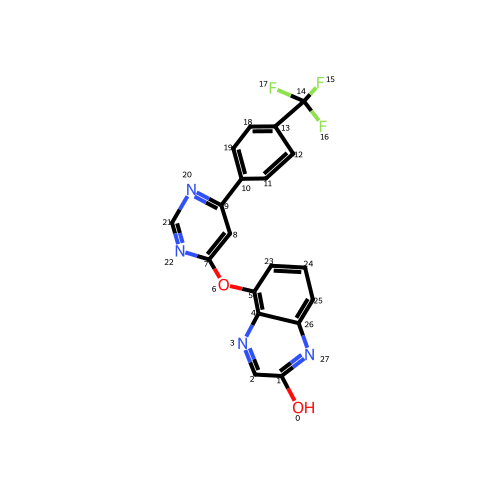 Oc1cnc2c(Oc3cc(-c4ccc(C(F)(F)F)cc4)ncn3)cccc2n1